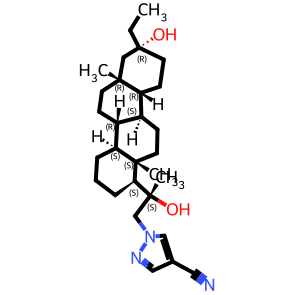 CC[C@@]1(O)CC[C@@H]2[C@H]3CC[C@@]4(C)[C@@H](CCC[C@@H]4[C@](C)(O)Cn4cc(C#N)cn4)[C@@H]3CC[C@]2(C)C1